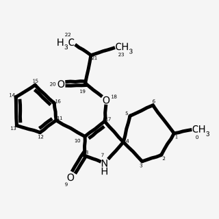 CC1CCC2(CC1)NC(=O)C(c1ccccc1)=C2OC(=O)C(C)C